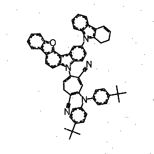 CC(C)(C)c1ccc(N(C2=C(C#N)CC=C(n3c4ccc(-n5c6c(c7ccccc75)C=CCC6)cc4c4c5oc6ccccc6c5ccc43)C(C#N)=C2)c2ccc(C(C)(C)C)cc2)cc1